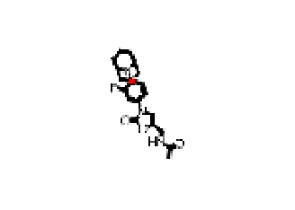 CC(=O)NCC1CN(c2ccc(N3C4CCCC3CSC4)c(F)c2)C(=O)O1